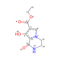 CCOC(=O)c1cn2c(c1O)C(=O)NCC2